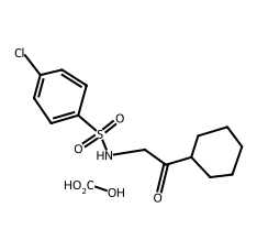 O=C(CNS(=O)(=O)c1ccc(Cl)cc1)C1CCCCC1.O=C(O)O